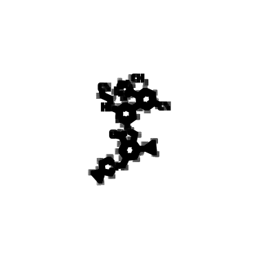 Cn1cnnc1-c1ccc(C#N)cc1-c1cc(NCCC#N)nc(N2Cc3c(cc(CN4CCC5(CC5)C4)cc3C3CC3)C2=O)c1